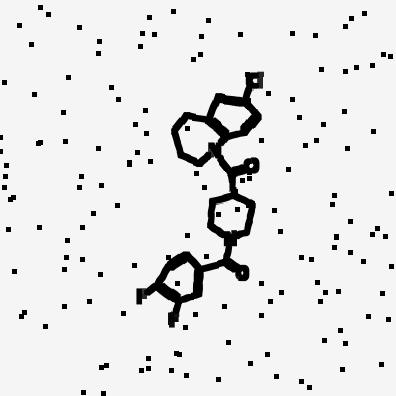 O=C(c1ccc(F)c(F)c1)N1CCC(C(=O)N2CCCCc3cc(Cl)ccc32)CC1